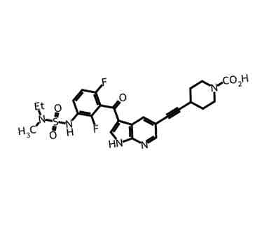 CCN(C)S(=O)(=O)Nc1ccc(F)c(C(=O)c2c[nH]c3ncc(C#CC4CCN(C(=O)O)CC4)cc23)c1F